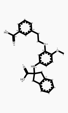 COc1ccc(NC2(C(=O)O)Cc3ccccc3C2)cc1OCCc1cccc(C(=O)O)c1